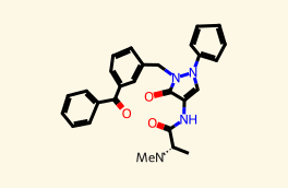 CN[C@@H](C)C(=O)Nc1cn(-c2ccccc2)n(Cc2cccc(C(=O)c3ccccc3)c2)c1=O